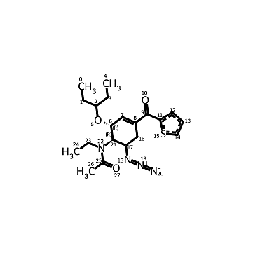 CCC(CC)O[C@@H]1C=C(C(=O)c2cccs2)CC(N=[N+]=[N-])[C@H]1N(CC)C(C)=O